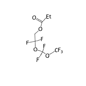 CCC(=O)OCC(F)(F)OC(F)(F)OC(F)(F)F